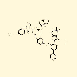 COc1ccc(S(=O)(=O)N(CC[C@H](Cc2ccc(NCc3cc(-c4ccncc4)ccc3-c3sc4c(c3C(=O)O)CC(C)(C)CC4)cc2)NC(=O)O[C@H]2CO[C@@]3(C)OCC[C@@H]23)CC(C)C)cc1